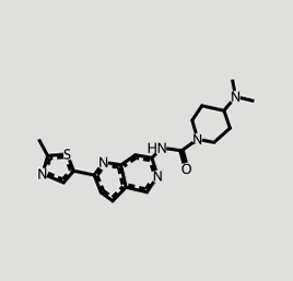 Cc1ncc(-c2ccc3cnc(NC(=O)N4CCC(N(C)C)CC4)cc3n2)s1